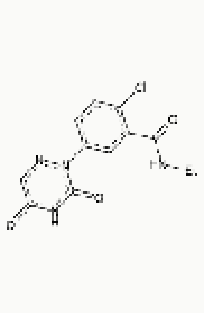 CCNC(=O)c1cc(-n2ncc(=O)[nH]c2=O)ccc1Cl